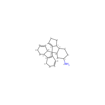 NC1CCC2C3CCC=C3C3(C4=C(CCC=C4)C4CCC=CC43)C2C1